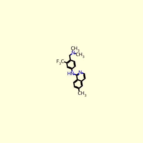 Cc1ccc2c(Nc3ccc(CN(C)C)c(C(F)(F)F)c3)nccc2c1